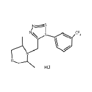 CC1COCC(C)N1Cc1nnnn1-c1cccc(C(F)(F)F)c1.Cl